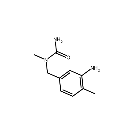 Cc1ccc(CN(C)C(N)=O)cc1N